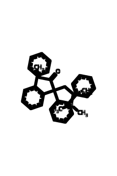 CCC(=O)C(C[C@H](C)N(C)C)(c1ccccc1-c1ccccc1)c1ccccc1-c1ccccc1